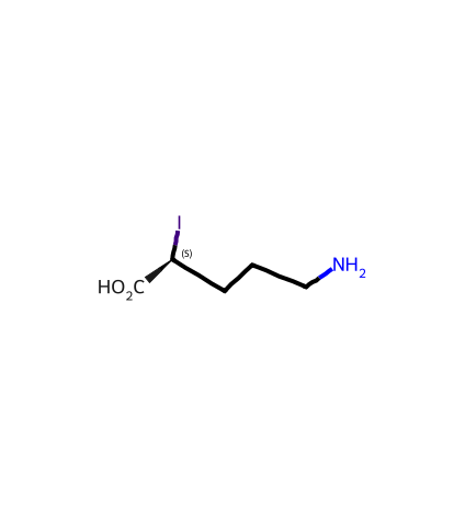 NCCC[C@H](I)C(=O)O